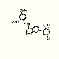 COc1ccc(CNc2cnnc3cc(-c4cc(Cl)ccc4C(=O)O)ccc23)c(OC)c1